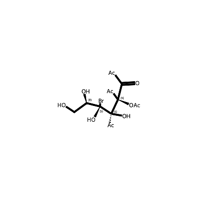 CC(=O)O[C@@](C(C)=O)(C(=O)C(C)=O)[C@](O)(C(C)=O)[C@@](O)(Br)[C@H](O)CO